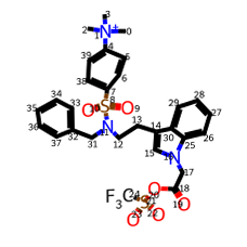 C[N+](C)(C)c1ccc(S(=O)(=O)N(CCc2cn(CC(=O)OS(=O)(=O)C(F)(F)F)c3ccccc23)Cc2ccccc2)cc1